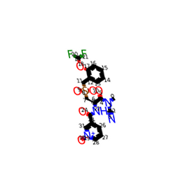 CN(C#N)C(=O)[C@H](CS(=O)(=O)Cc1ccccc1OC(F)F)NC(=O)c1ccc[n+]([O-])c1